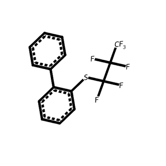 FC(F)(F)C(F)(F)C(F)(F)Sc1ccccc1-c1ccccc1